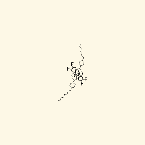 CCCCCCCCC1CCC(C2COC(c3ccc(F)c(F)c3)(C3(c4ccc(F)c(F)c4)OCC(C4CCC(CCCCCCC)CC4)CO3)OC2)CC1